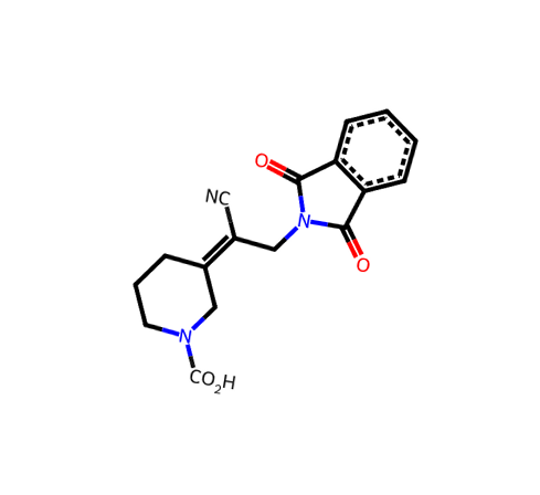 N#C/C(CN1C(=O)c2ccccc2C1=O)=C1\CCCN(C(=O)O)C1